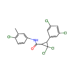 Cc1cc(NC(=O)C2C(c3cc(Cl)cc(Cl)c3)C2(Cl)Cl)ccc1Cl